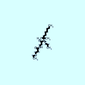 CCCCCCCC(C)(C)N(CCCC)C(=O)CCNC(=O)CCOCC